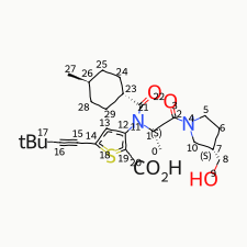 C[C@@H](C(=O)N1CC[C@H](CO)C1)N(c1cc(C#CC(C)(C)C)sc1C(=O)O)C(=O)[C@H]1CC[C@H](C)CC1